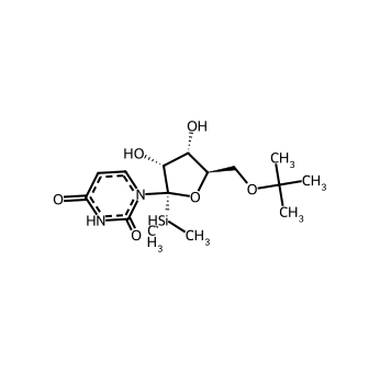 C[SiH](C)[C@@]1(n2ccc(=O)[nH]c2=O)O[C@H](COC(C)(C)C)[C@@H](O)[C@H]1O